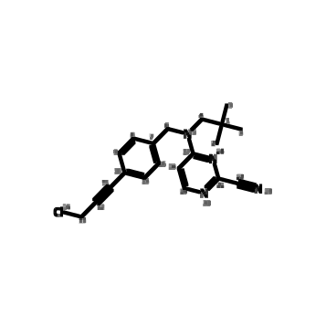 CC(C)(C)CN(Cc1ccc(C#CCCl)cc1)c1ccnc(C#N)n1